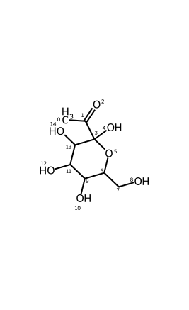 CC(=O)C1(O)OC(CO)C(O)C(O)C1O